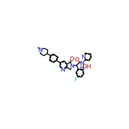 CN1CCC(c2ccc(-c3cnc4c(c3)C(=O)N(C(C(=O)Nc3ccccn3)c3cc(F)ccc3O)C4)cc2)CC1